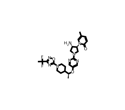 Cc1ccc(=O)n([C@H]2CN(c3ncc(O[C@@H](C)C4CCN(c5nc(C(C)(F)F)no5)CC4)cn3)C[C@@H]2N)c1